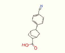 N#Cc1ccc(C2CC3CC2CC3C(=O)O)cc1